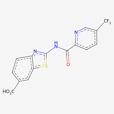 O=C(O)c1ccc2nc(NC(=O)c3ccc(C(F)(F)F)cn3)sc2c1